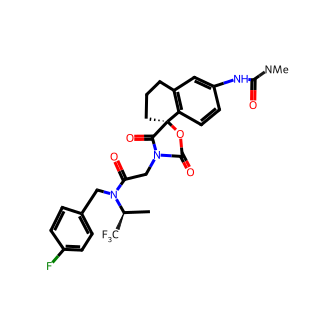 CNC(=O)Nc1ccc2c(c1)CCC[C@@]21OC(=O)N(CC(=O)N(Cc2ccc(F)cc2)[C@@H](C)C(F)(F)F)C1=O